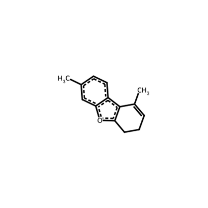 CC1=CCCc2oc3cc(C)ccc3c21